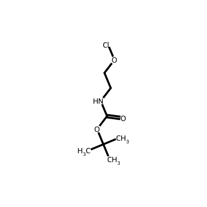 CC(C)(C)OC(=O)NCCOCl